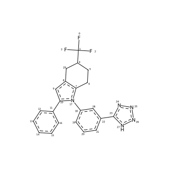 FC(F)(F)C1CCc2c(cc(-c3ccccc3)n2-c2cccc(-c3nnn[nH]3)c2)C1